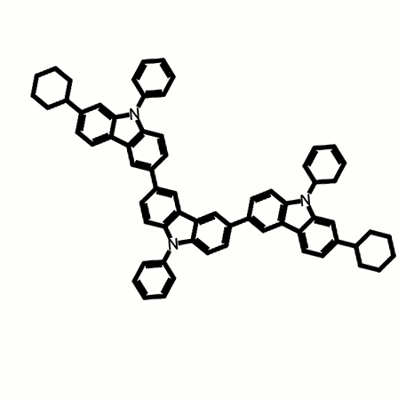 C1=CCC(n2c3ccc(-c4ccc5c(c4)c4cc(-c6ccc7c(c6)c6ccc(C8CCCCC8)cc6n7-c6ccccc6)ccc4n5-c4ccccc4)cc3c3ccc(C4CCCCC4)cc32)C=C1